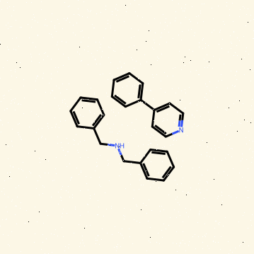 c1ccc(-c2ccncc2)cc1.c1ccc(CNCc2ccccc2)cc1